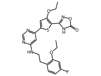 CCOc1cc(F)ccc1CCNc1cc(-c2cc(OCC)c(-c3noc(=O)[nH]3)s2)ncn1